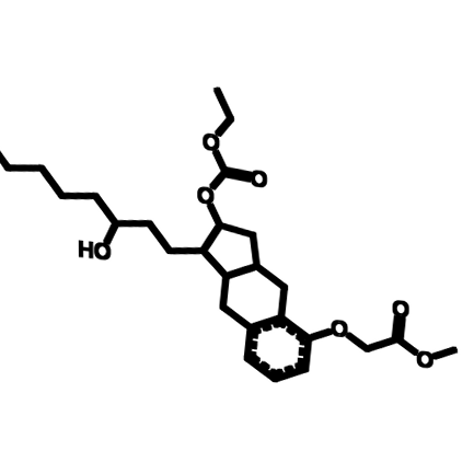 CCCCCC(O)CCC1C(OC(=O)OCC)CC2Cc3c(cccc3OCC(=O)OC)CC21